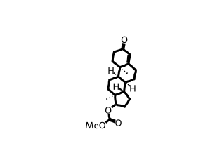 COC(=O)OC1CC[C@H]2[C@@H]3CCC4=CC(=O)CC[C@]4(C)[C@@H]3CC[C@]12C